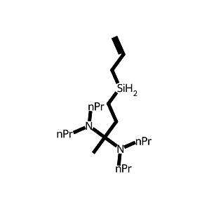 C=CC[SiH2]CCC(C)(N(CCC)CCC)N(CCC)CCC